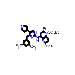 CCOC(=O)N1c2ccc(OC)nc2[C@@H](Nc2ncc(-c3ccncc3)c(Cc3cc(C(F)(F)F)cc(C(F)(F)F)c3)n2)C[C@H]1CC